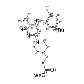 COC(=O)CCC1CCN(c2nc(Nc3cc(C(C)(C)C)ccc3C)c3c(ncn3C)n2)CC1